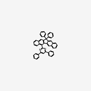 c1ccc(-c2cc(-c3ccccc3)nc(-c3c4c(cc5ccccc35)C(c3ccccc3)(c3ccccc3)c3cc5ccccc5cc3-4)n2)cc1